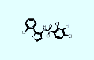 O=S(=O)(Nc1ccsc1-c1ccccc1Cl)c1ccc(Cl)c(Cl)c1Cl